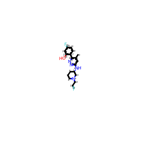 Cc1cc(N[C@@H]2CCCN(CCF)C2)nnc1-c1ccc(F)cc1O